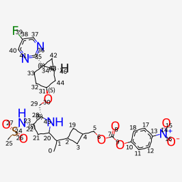 CC(C1CC(COC(=O)Oc2ccc([N+](=O)[O-])cc2)C1)C1C[C@H](NS(C)(=O)=O)[C@H](CO[C@H]2CC[C@@]3(c4ncc(F)cn4)C[C@H]3C2)N1